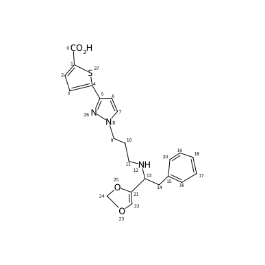 O=C(O)c1ccc(-c2ccn(CCCNC(Cc3ccccc3)C3=COCO3)n2)s1